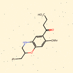 COc1cc2c(cc1C(=O)CCC(=O)O)NCC(CC(C)C)O2